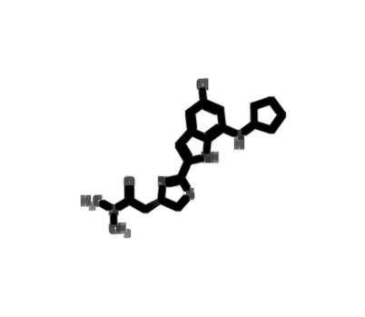 CN(C)C(=O)C[C@@H]1CSC(c2cc3cc(Cl)cc(NC4CCCC4)c3[nH]2)=N1